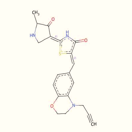 C#CCN1CCOc2ccc(/C=c3\s/c(=C4\CNC(C)C4=O)[nH]c3=O)cc21